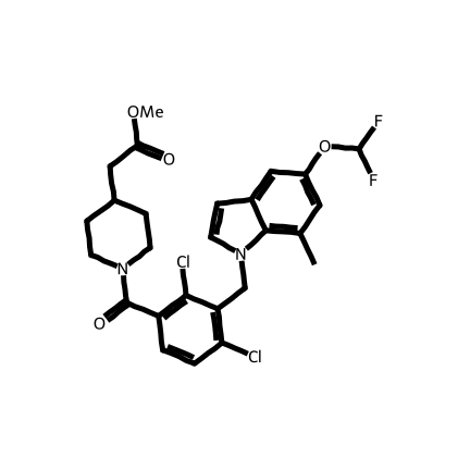 COC(=O)CC1CCN(C(=O)c2ccc(Cl)c(Cn3ccc4cc(OC(F)F)cc(C)c43)c2Cl)CC1